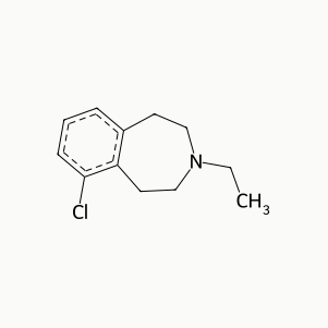 CCN1CCc2cccc(Cl)c2CC1